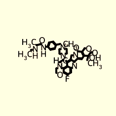 CCN[C@@H](C)C(=O)Nc1ccc(C[N+]2(C)CCN(CCN3CCOc4c(F)cc5nc6c(c(C)c5c43)Cn3c-6cc4c(c3=O)COC(=O)[C@]4(O)CC)CC2)cc1